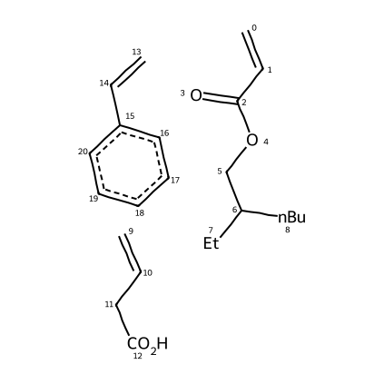 C=CC(=O)OCC(CC)CCCC.C=CCC(=O)O.C=Cc1ccccc1